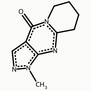 Cn1ncc2c(=O)n3c(nc21)CCCC3